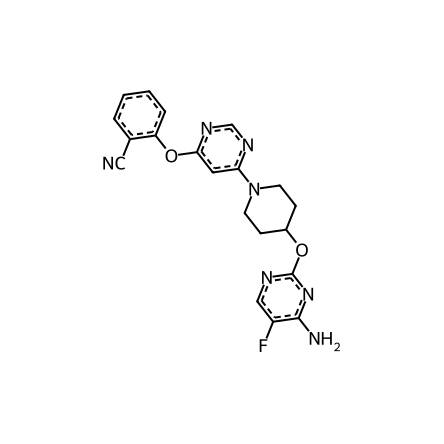 N#Cc1ccccc1Oc1cc(N2CCC(Oc3ncc(F)c(N)n3)CC2)ncn1